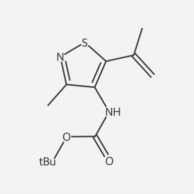 C=C(C)c1snc(C)c1NC(=O)OC(C)(C)C